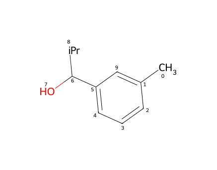 Cc1cccc(C(O)C(C)C)c1